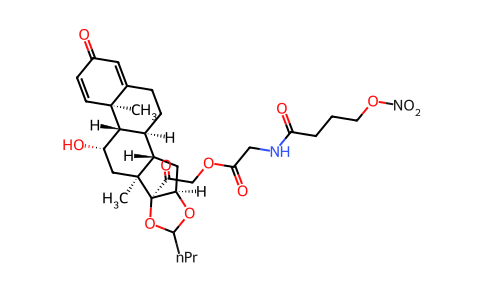 CCCC1O[C@@H]2C[C@H]3[C@@H]4CCC5=CC(=O)C=C[C@]5(C)[C@H]4[C@@H](O)C[C@]3(C)[C@]2(C(=O)COC(=O)CNC(=O)CCCO[N+](=O)[O-])O1